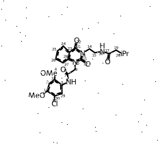 COc1cc(OC)c(NC(=O)Cn2c(=O)n(CCNC(=O)CC(C)C)c(=O)c3ccccc32)cc1Cl